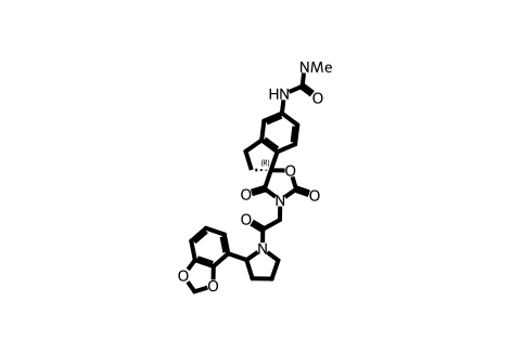 CNC(=O)Nc1ccc2c(c1)CC[C@@]21OC(=O)N(CC(=O)N2CCCC2c2cccc3c2OCO3)C1=O